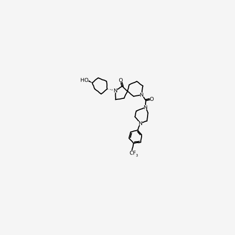 O=C(N1CCN(c2ccc(C(F)(F)F)cc2)CC1)N1CCCC2(CCN([C@H]3CC[C@H](O)CC3)C2=O)C1